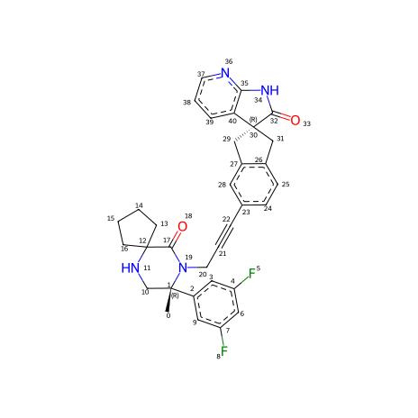 C[C@@]1(c2cc(F)cc(F)c2)CNC2(CCCC2)C(=O)N1CC#Cc1ccc2c(c1)C[C@@]1(C2)C(=O)Nc2ncccc21